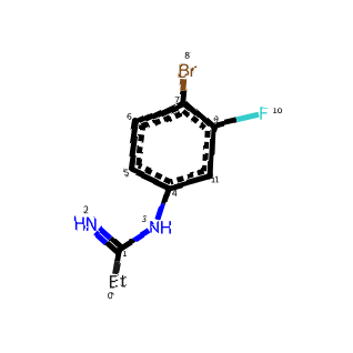 CCC(=N)Nc1ccc(Br)c(F)c1